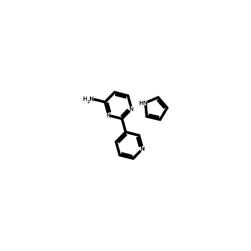 Nc1ccnc(-c2cccnc2)n1.c1cc[nH]c1